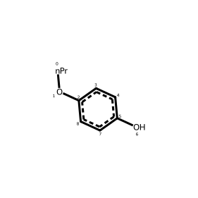 [CH2]CCOc1ccc(O)cc1